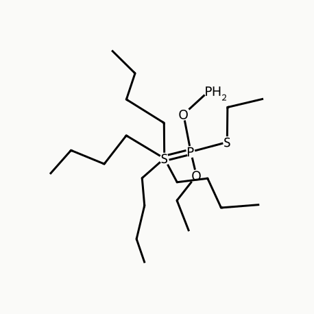 CCCCS(CCCC)(CCCC)(CCCC)=P(OP)(OCC)SCC